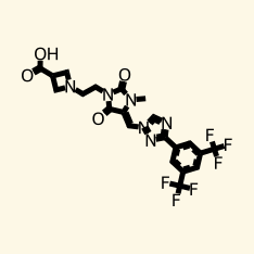 CN1C(=O)N(CCN2CC(C(=O)O)C2)C(=O)/C1=C/n1cnc(-c2cc(C(F)(F)F)cc(C(F)(F)F)c2)n1